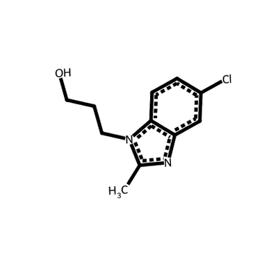 Cc1nc2cc(Cl)ccc2n1CCCO